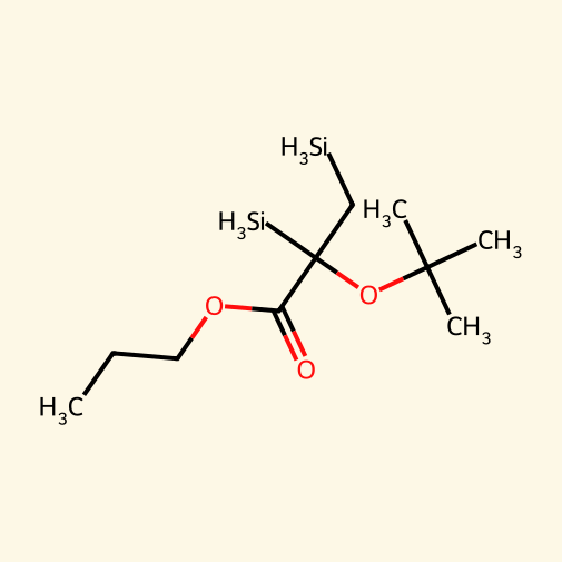 CCCOC(=O)C([SiH3])(C[SiH3])OC(C)(C)C